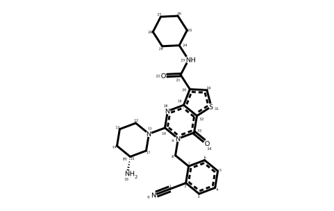 N#Cc1ccccc1Cn1c(N2CCC[C@@H](N)C2)nc2c(C(=O)NC3CCCCC3)csc2c1=O